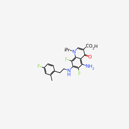 Cc1cc(F)ccc1CCNc1c(F)c(N)c2c(=O)c(C(=O)O)cn(C(C)C)c2c1F